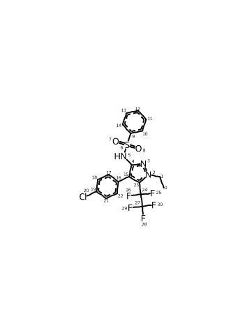 CCn1nc(NS(=O)(=O)c2ccccc2)c(-c2ccc(Cl)cc2)c1C(F)(F)C(F)(F)F